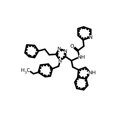 CCc1ccc(Cn2c(CCc3ccccc3)nnc2C(Cc2c[nH]c3ccccc23)NC(=O)Cc2ccccn2)cc1